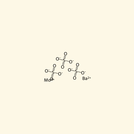 O=S(=O)([O-])[O-].O=S(=O)([O-])[O-].O=S(=O)([O-])[O-].[Ba+2].[Mo+4]